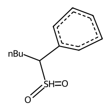 CCCCC(c1ccccc1)[SH](=O)=O